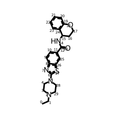 CCN1CCN(c2nc3ccc(C(=O)NC4CCOc5ccccc54)cc3s2)CC1